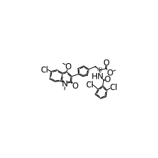 COC(=O)[C@H](Cc1ccc(-c2c(OC)c3cc(Cl)ccc3n(C)c2=O)cc1)NC(=O)c1c(Cl)cccc1Cl